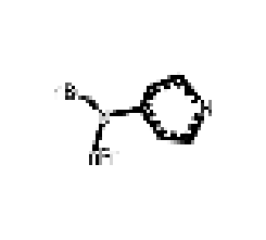 CCCCN(CCC)c1ccncc1